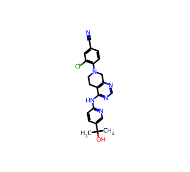 CC(C)(O)c1ccc(Nc2ncnc3c2CCN(c2ccc(C#N)cc2Cl)C3)nc1